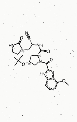 COc1cccc2[nH]c(C(=O)N3C[C@H](OC(C)(C)C)C[C@H]3C(=O)NC(C#N)C[C@@H]3CCNC3=O)cc12